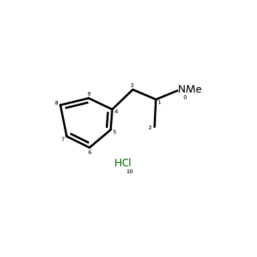 CNC(C)Cc1ccccc1.Cl